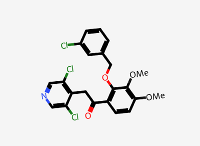 COc1ccc(C(=O)Cc2c(Cl)cncc2Cl)c(OCc2cccc(Cl)c2)c1OC